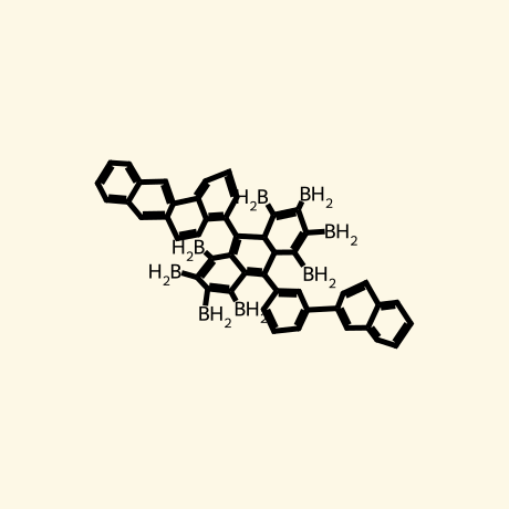 BC1=C(B)C2C(c3cccc(-c4ccc5ccccc5c4)c3)=c3c(B)c(B)c(B)c(B)c3=C(c3cccc4c3ccc3cc5ccccc5cc34)C2C(B)=C1B